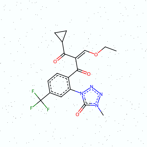 CCO/C=C(\C(=O)c1ccc(C(F)(F)F)cc1-n1nnn(C)c1=O)C(=O)C1CC1